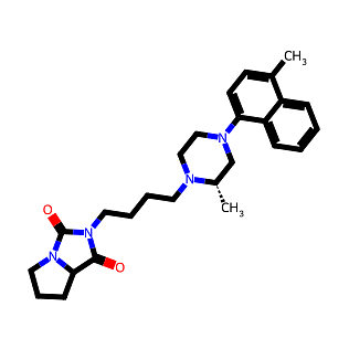 Cc1ccc(N2CCN(CCCCN3C(=O)C4CCCN4C3=O)[C@@H](C)C2)c2ccccc12